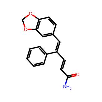 NC(=O)C=CC(=Cc1ccc2c(c1)OCO2)c1ccccc1